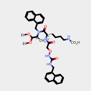 CCOC(OCC)[C@H](C)N(Cc1cccc2ccccc12)C(=O)[C@H](CCCCNC(=O)O)NC(=O)CONC(=O)NCc1cccc2ccccc12